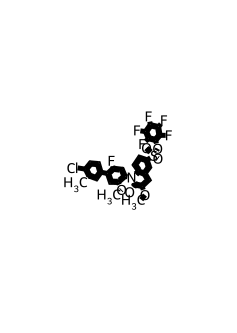 COc1cc(-c2ccc(Cl)c(C)c2)c(F)cc1-n1c(=O)c(OC)cc2cc(S(=O)(=O)Oc3c(F)c(F)c(F)c(F)c3F)ccc21